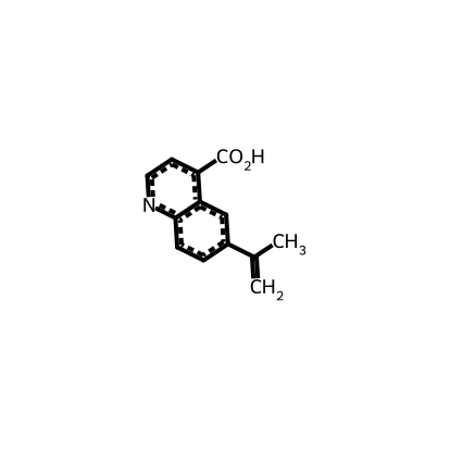 C=C(C)c1ccc2nccc(C(=O)O)c2c1